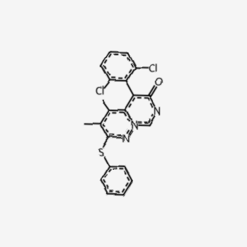 Cc1c(Sc2ccccc2)nn2cnc(=O)c(-c3c(Cl)cccc3Cl)c2c1C